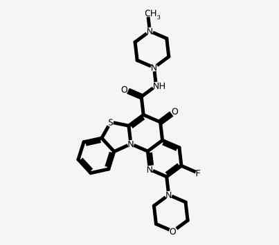 CN1CCN(NC(=O)c2c(=O)c3cc(F)c(N4CCOCC4)nc3n3c2sc2ccccc23)CC1